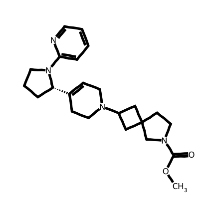 COC(=O)N1CCC2(CC(N3CC=C([C@@H]4CCCN4c4ccccn4)CC3)C2)C1